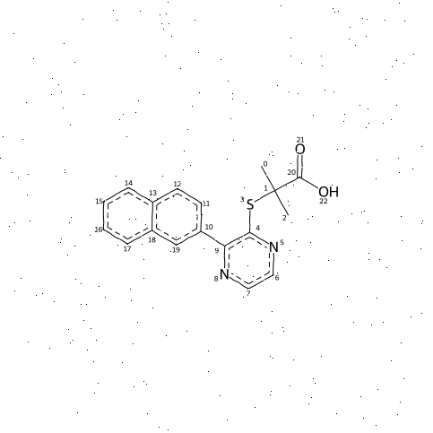 CC(C)(Sc1nccnc1-c1ccc2ccccc2c1)C(=O)O